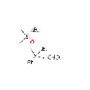 CCC(CC)(CC=O)CO[Si](C)(C)C(C)(C)C